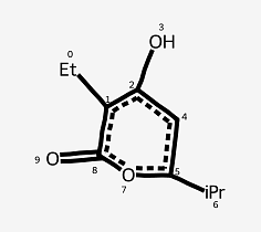 CCc1c(O)cc(C(C)C)oc1=O